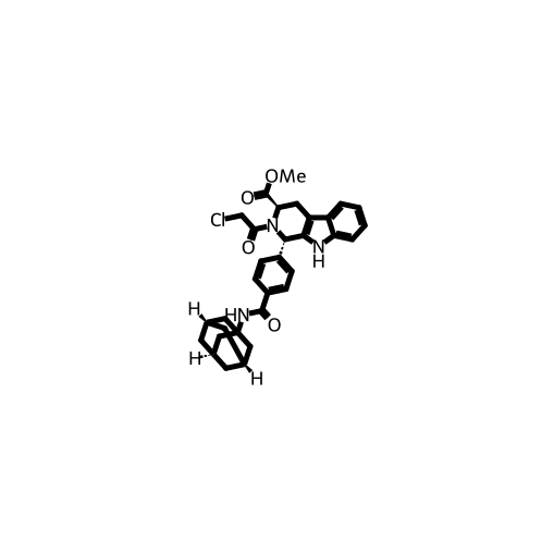 COC(=O)[C@H]1Cc2c([nH]c3ccccc23)[C@H](c2ccc(C(=O)NC34C[C@H]5C[C@@H](C3)C[C@@H](C4)C5)cc2)N1C(=O)CCl